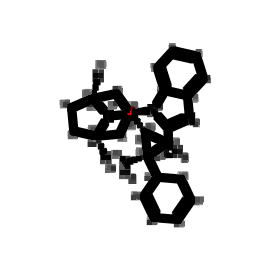 Cc1nc2ccccc2n1[C@H]1C[C@H]2CC[C@@H](C1)N2C[C@@H]1C[C@@]1(N)C1C=CC=CC1